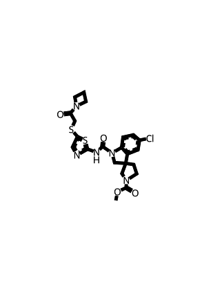 COC(=O)N1CCC2(C1)CN(C(=O)Nc1ncc(SCC(=O)N3CCC3)s1)c1ccc(Cl)cc12